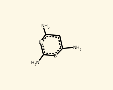 Nc1bc(N)cc(N)b1